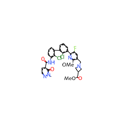 COC(=O)C1CN(Cc2cc(F)c(-c3cccc(-c4cccc(NC(=O)c5ccnn(C)c5=O)c4Cl)c3Cl)nc2OC)C1